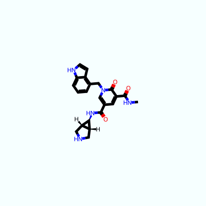 CNC(=O)c1cc(C(=O)N[C@H]2[C@@H]3CNC[C@@H]32)cn(Cc2cccc3[nH]ccc23)c1=O